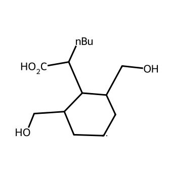 CCCCC(C(=O)O)C1C(CO)C[CH]CC1CO